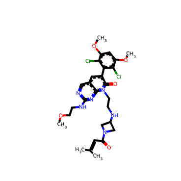 COCCNc1ncc2cc(-c3c(Cl)c(OC)cc(OC)c3Cl)c(=O)n(CCNC3CN(C(=O)C=C(C)C)C3)c2n1